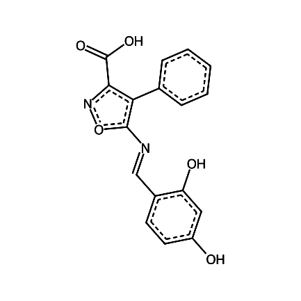 O=C(O)c1noc(/N=C/c2ccc(O)cc2O)c1-c1ccccc1